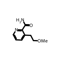 COCCc1cccnc1C(N)=O